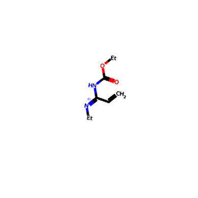 C=C/C(=N\CC)NC(=O)OCC